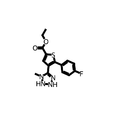 CCOC(=O)c1cc(C2=NNNN2C)c(-c2ccc(F)cc2)s1